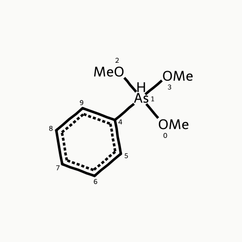 CO[AsH](OC)(OC)c1ccccc1